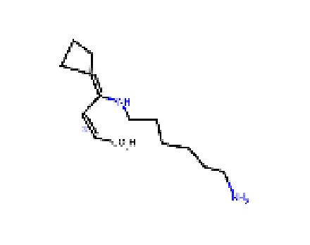 NCCCCCCNC(/C=C\C(=O)O)=C1CCC1